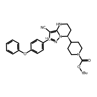 CC(C)(C)OC(=O)N1CCC([C@@H]2CCNc3c(C#N)[14c](-c4ccc(Oc5ccccc5)cc4)nn32)CC1